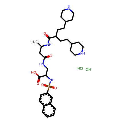 CC(CC(=O)NCC(NS(=O)(=O)c1ccc2ccccc2c1)C(=O)O)NC(=O)C(CCC1CCNCC1)CCC1CCNCC1.Cl.Cl